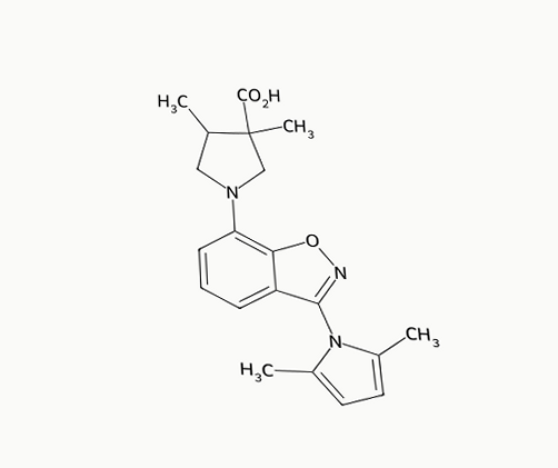 Cc1ccc(C)n1-c1noc2c(N3CC(C)C(C)(C(=O)O)C3)cccc12